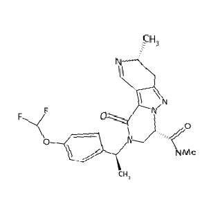 CNC(=O)[C@@H]1CN([C@@H](C)c2ccc(OC(F)F)cc2)C(=O)c2c3c(nn21)C[C@@H](C)N=C3